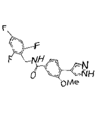 COc1cc(C(=O)NCc2c(F)cc(F)cc2F)ccc1-c1cn[nH]c1